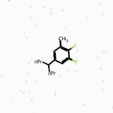 CCCC(CCC)c1cc(C)c(F)c(F)c1